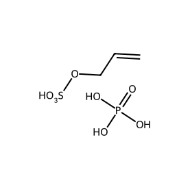 C=CCOS(=O)(=O)O.O=P(O)(O)O